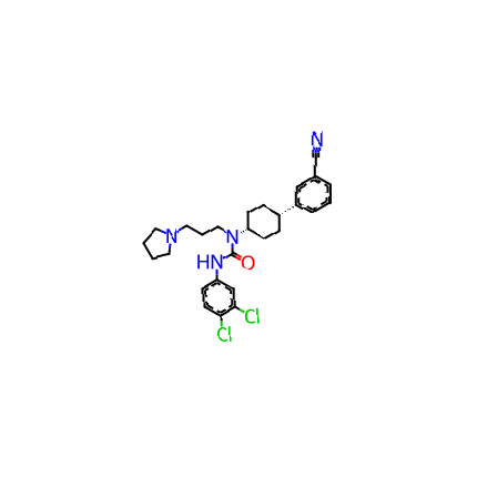 N#Cc1cccc([C@H]2CC[C@@H](N(CCCN3CCCC3)C(=O)Nc3ccc(Cl)c(Cl)c3)CC2)c1